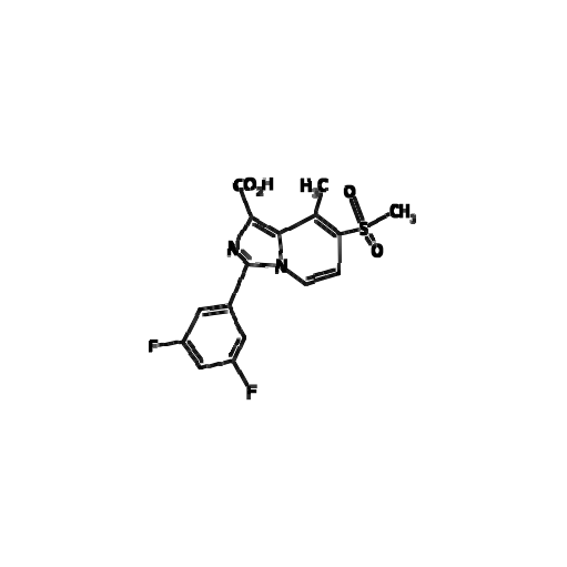 Cc1c(S(C)(=O)=O)ccn2c(-c3cc(F)cc(F)c3)nc(C(=O)O)c12